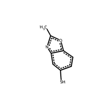 Cc1nc2cc(S)ccc2o1